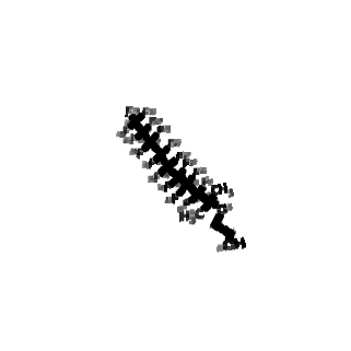 CC(C)(OCCO)C(F)(F)C(F)(F)C(F)(F)C(F)(F)C(F)(F)C(F)(F)C(F)(F)C(F)(F)F